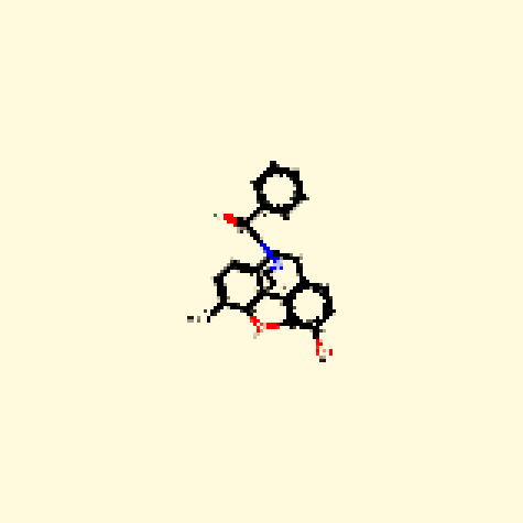 COC1=CC=C2C3Cc4ccc(O)c5c4[C@@]2(CCN3C(=O)c2ccccc2)C1O5